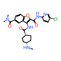 CN[C@H]1CC[C@H](C(=O)Nc2c(C(=O)Nc3ccc(Cl)cn3)oc3ccc(C(=O)N(C)C)cc23)CC1